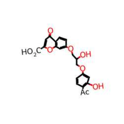 CC(=O)c1ccc(OCC(O)COc2ccc3c(=O)cc(C(=O)O)oc3c2)cc1O